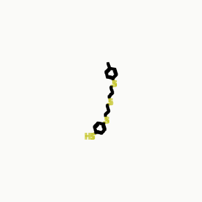 Cc1ccc(SCCCSCCCSc2ccc(S)cc2)cc1